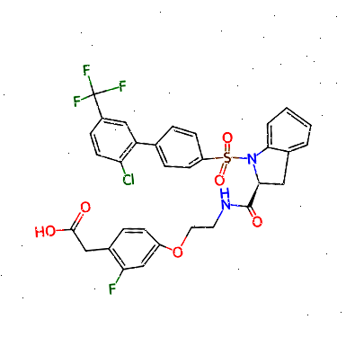 O=C(O)Cc1ccc(OCCNC(=O)[C@@H]2Cc3ccccc3N2S(=O)(=O)c2ccc(-c3cc(C(F)(F)F)ccc3Cl)cc2)cc1F